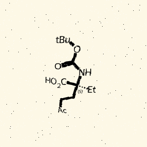 CC[C@@](CCC(C)=O)(NC(=O)OC(C)(C)C)C(=O)O